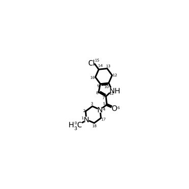 CN1CCN(C(=O)c2cc3c([nH]2)CCC(Cl)C3)CC1